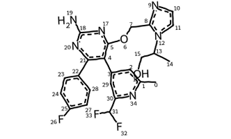 Cc1cc(-c2c(OCc3nccn3C(C)CO)nc(N)nc2-c2ccc(F)cc2)cc(C(F)F)n1